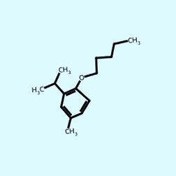 CCCCCOc1ccc(C)cc1C(C)C